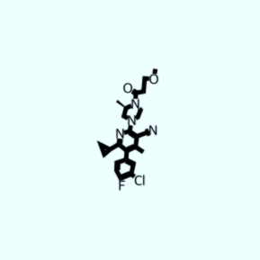 COCCC(=O)N1CCN(c2nc(C3CC3)c(-c3ccc(F)c(Cl)c3)c(C)c2C#N)C[C@H]1C